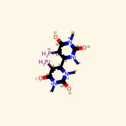 Cn1c(-c2c(P)c(=O)n(C)c(=O)n2C)c(P)c(=O)n(C)c1=O